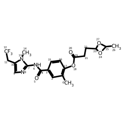 Cc1cc(C(=O)Nc2ncc(CC(F)(F)F)n2C)ccc1OC(=O)CCC1OC(C)O1